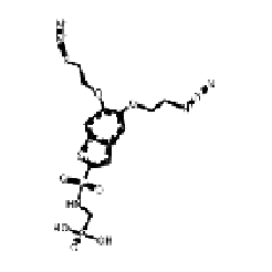 [N-]=[N+]=NCCOc1cc2cc(S(=O)(=O)NCP(=O)(O)O)sc2cc1OCCN=[N+]=[N-]